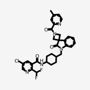 Cc1ccnc(C(=O)N2CC3(C2)C(=O)N(CC2CCC(NC(=O)c4cc(Cl)cnc4C(F)F)CC2)c2ccccc23)c1